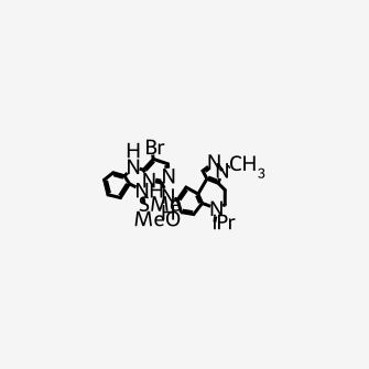 COc1cc2c(cc1Nc1ncc(Br)c(Nc3ccccc3NSC)n1)-c1cnn(C)c1CCN2C(C)C